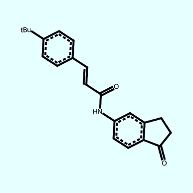 CC(C)(C)c1ccc(/C=C/C(=O)Nc2ccc3c(c2)CCC3=O)cc1